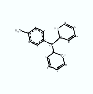 Nc1ccc(P(C2C=CC=CO2)C2C=CC=CO2)cc1